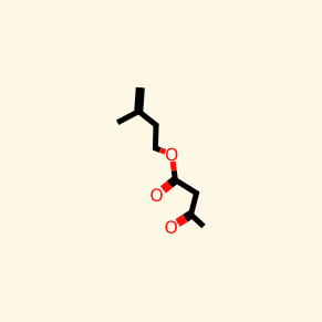 C=C(C)CCOC(=O)CC(C)=O